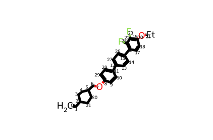 C=CC1CCC(COc2ccc(-c3ccc(-c4ccc(OCC)c(F)c4F)cc3)cc2)CC1